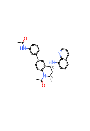 CC(=O)Nc1cccc(-c2ccc3c(c2)[C@H](Nc2cccc4cccnc24)C[C@H](C)N3C(C)=O)c1